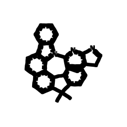 CC1(C)c2ccccc2-c2c1ccc1ccc3c4ccccc4n(-c4ccc5c(n4)N=CC5)c3c21